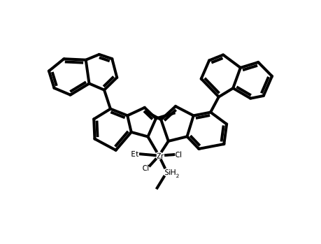 C[CH2][Zr]([Cl])([Cl])([SiH2]C)([CH]1C(C)=Cc2c(-c3cccc4ccccc34)cccc21)[CH]1C(C)=Cc2c(-c3cccc4ccccc34)cccc21